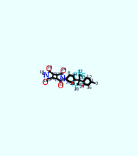 Cc1ccc(C(c2ccc(N3C(=O)C4C5C(=O)N(C)C(=O)C5C4C3=O)cc2)(C(F)(F)F)C(F)(F)F)cc1